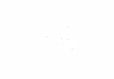 NC(=O)OCC1(CCc2ccccc2)CCNCC1